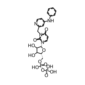 O=c1ccn([C@@H]2O[C@H](COP(=O)(O)OP(=O)(O)O)C(O)C2O)c(=O)n1Cc1cc(Nc2ccccc2)ccn1